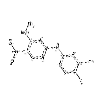 CNc1nc(Nc2ccc(Cl)c(F)c2)ncc1[N+](=O)[O-]